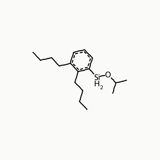 CCCCc1cccc([SiH2]OC(C)C)c1CCCC